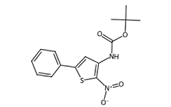 CC(C)(C)OC(=O)Nc1cc(-c2ccccc2)sc1[N+](=O)[O-]